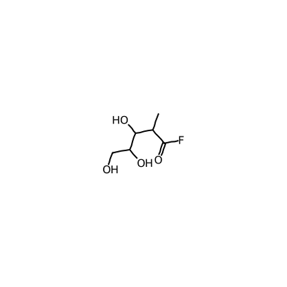 CC(C(=O)F)C(O)C(O)CO